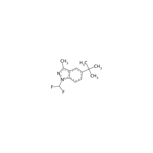 Cc1nn(C(F)F)c2ccc(C(C)(C)C)cc12